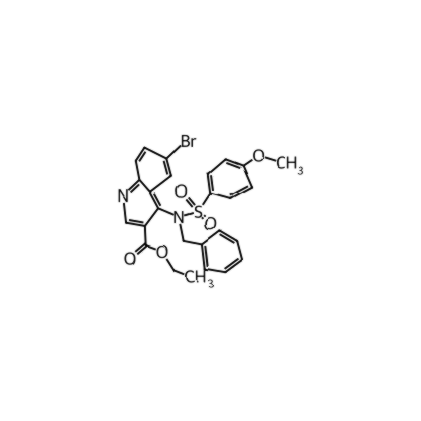 CCOC(=O)c1cnc2ccc(Br)cc2c1N(Cc1ccccc1)S(=O)(=O)c1ccc(OC)cc1